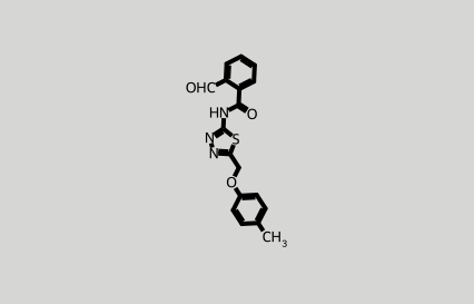 Cc1ccc(OCc2nnc(NC(=O)c3ccccc3C=O)s2)cc1